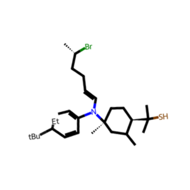 C/C=C(\C=C/C(CC)C(C)(C)C)N(C=CCC[C@H](C)Br)[C@@]1(C)CC[C@@H](C(C)(C)S)C(C)C1